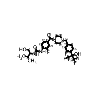 CC(C)C(CO)NC(=O)Nc1ccc(C(=O)N2CCN(Cc3ccc(C(O)(C(F)(F)F)C(F)(F)F)cc3)CC2)cc1F